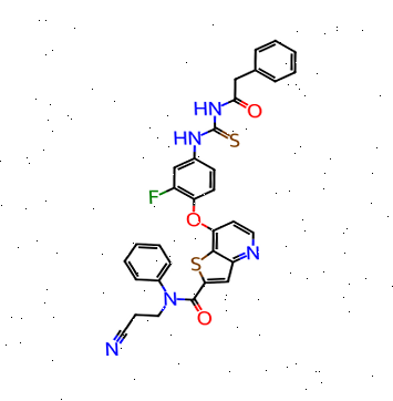 N#CCCN(C(=O)c1cc2nccc(Oc3ccc(NC(=S)NC(=O)Cc4ccccc4)cc3F)c2s1)c1ccccc1